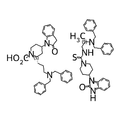 C[C@@H](CNC(=S)N1CCC(n2c(=O)[nH]c3ccccc32)CC1)N(Cc1ccccc1)Cc1ccccc1.O=C1Cc2ccccc2N1C1CCN(C(=O)O)[C@@H](CCCN(Cc2ccccc2)Cc2ccccc2)C1